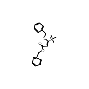 C[Si](C)(C)C(=CC(=O)OCc1ccccc1)SCc1ccccc1